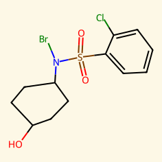 O=S(=O)(c1ccccc1Cl)N(Br)C1CCC(O)CC1